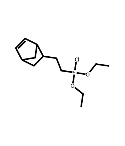 CCO[Si](Cl)(CCC1CC2C=CC1C2)OCC